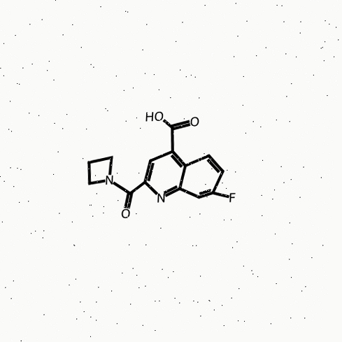 O=C(O)c1cc(C(=O)N2CCC2)nc2cc(F)ccc12